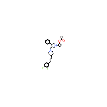 CCC(=O)OC1CCC1N1CC(CN2CCC(CCCc3ccc(F)c(F)c3)CC2)C(c2ccccc2)C1